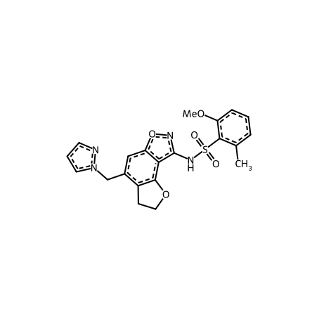 COc1cccc(C)c1S(=O)(=O)Nc1noc2cc(Cn3cccn3)c3c(c12)OCC3